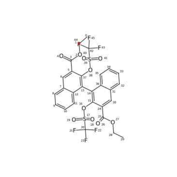 CCOC(=O)c1cc2ccccc2c(-c2c(OS(=O)(=O)C(F)(F)F)c(C(=O)OCC)cc3ccccc23)c1OS(=O)(=O)C(F)(F)F